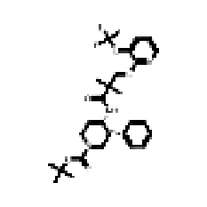 CC(C)(C)OC(=O)N1CC[C@H](NC(=O)C(C)(C)COc2ncccc2OC(F)(F)F)[C@H](c2ccccc2)C1